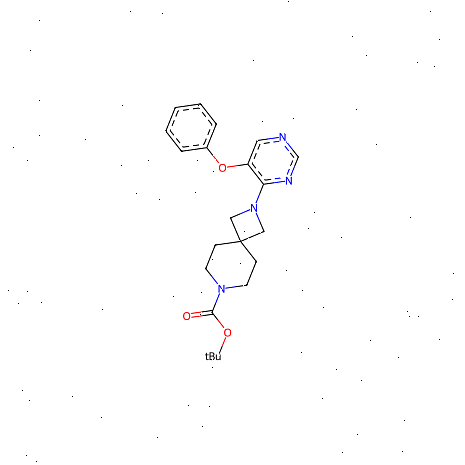 CC(C)(C)OC(=O)N1CCC2(CC1)CN(c1ncncc1Oc1ccccc1)C2